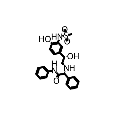 CS(=O)(=O)Nc1cc([C@H](O)CN[C@@H](C(=O)Nc2ccccc2)c2ccccc2)ccc1O